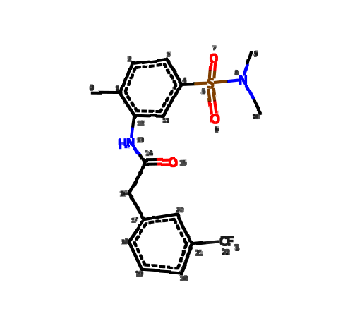 Cc1ccc(S(=O)(=O)N(C)C)cc1NC(=O)Cc1cccc(C(F)(F)F)c1